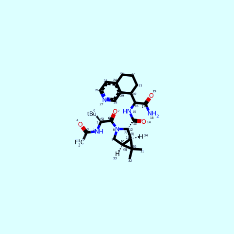 CC(C)(C)[C@H](NC(=O)C(F)(F)F)C(=O)N1C[C@H]2[C@@H]([C@H]1C(=O)NC(C(N)=O)C1CCCc3ccncc31)C2(C)C